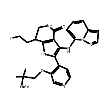 COC(C)(C)COc1cnccc1-c1[nH]c2c(c1Nc1cccc3ccnn13)C(=O)NCC2CCF